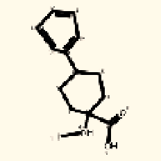 O=C(O)C1(NI)CCC(c2ccccc2)CC1